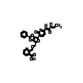 CCNC(=O)Nc1ccn([C@@H]2O[C@H](COCc3ncccc3C(=O)O)C3O[C@H](c4ccccc4)OC32)c(=O)n1